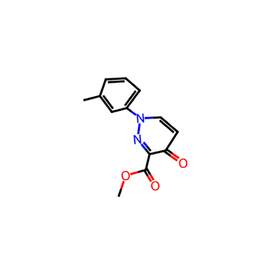 COC(=O)c1nn(-c2cccc(C)c2)ccc1=O